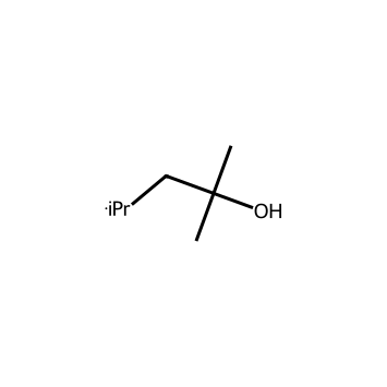 C[C](C)CC(C)(C)O